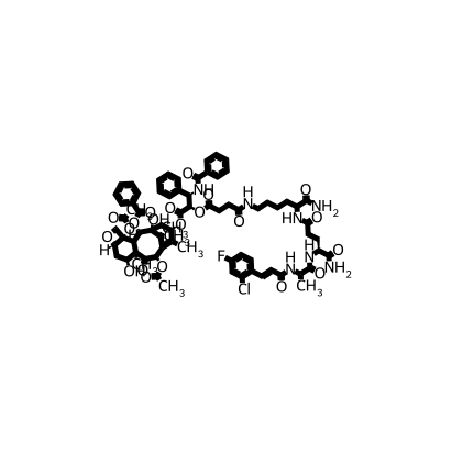 CC(=O)O[C@H]1C(=O)[C@@]2(C)[C@H]([C@H](OC(=O)c3ccccc3)[C@]3(O)C[C@H](OC(=O)[C@H](OC(=O)CCC(=O)NCCCCC(NC(=O)CC[C@H](NC(=O)C(C)NC(=O)/C=C/c4ccc(F)cc4Cl)C(N)=O)C(N)=O)[C@@H](NC(=O)c4ccccc4)c4ccccc4)C(C)=C1C3(C)C)[C@]1(OC(C)=O)CO[C@@H]1C[C@@H]2O